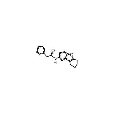 O=C(Cc1ccccc1)Nc1ccc2oc3c(c2c1)CCCC3